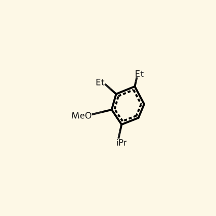 CCc1ccc(C(C)C)c(OC)c1CC